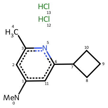 CNc1cc(C)nc(C2CCC2)c1.Cl.Cl